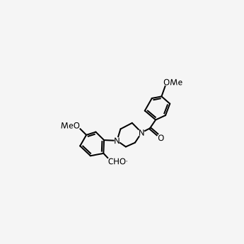 COc1ccc(C(=O)N2CCN(c3cc(OC)ccc3[C]=O)CC2)cc1